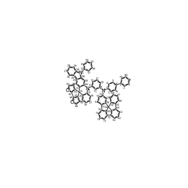 c1ccc(-c2ccc(N(c3cccc(N4c5ccccc5C5(c6cc7c8ccccc8n(-c8ccccc8)c7cc64)c4ccoc4-c4occc45)c3)c3ccc4c(c3)C3(c5ccccc5-c5ccccc53)c3ccccc3-4)cc2)cc1